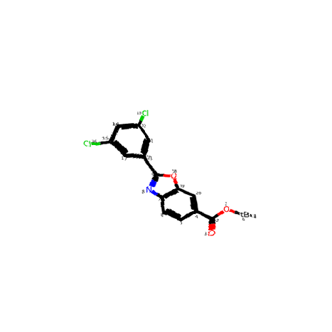 CC(C)(C)OC(=O)c1ccc2nc(-c3cc(Cl)cc(Cl)c3)oc2c1